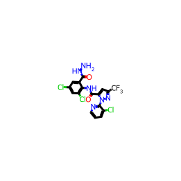 NNC(=O)c1cc(Cl)cc(Cl)c1NC(=O)c1cc(C(F)(F)F)nn1-c1ncccc1Cl